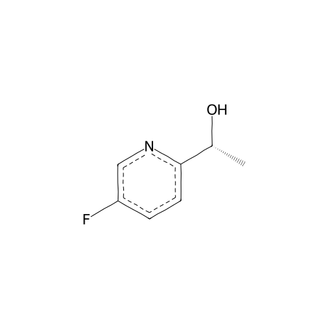 C[C@@H](O)c1ccc(F)cn1